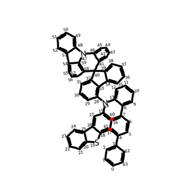 c1ccc(-c2ccc(-c3ccccc3N(c3ccc4sc5ccccc5c4c3)c3cccc4c3-c3ccccc3C43c4ccccc4-n4c5ccccc5c5cccc3c54)cc2)cc1